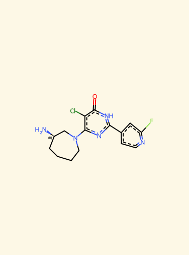 N[C@@H]1CCCCN(c2nc(-c3ccnc(F)c3)[nH]c(=O)c2Cl)C1